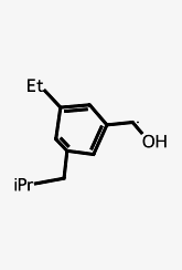 CCc1cc([CH]O)cc(CC(C)C)c1